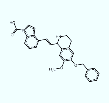 COc1cc2c(cc1OCc1ccccc1)CCNC2C=Cc1cccc2c1ccn2C(=O)O